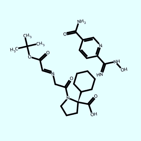 CC(C)(C)OC(=O)C=NCC(=O)N1CCC[C@]1(C(=O)O)C1CCCCC1.N=C(NO)c1ccc(C(N)=O)cn1